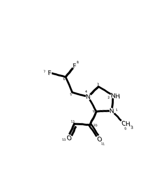 CN1NCN(CC(F)F)C1C(=O)C=O